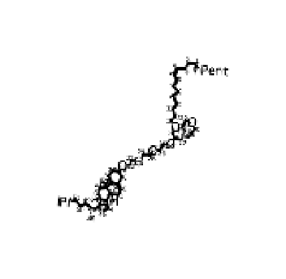 CCCCC/C=C\C/C=C\CCCCCCCCOCC(CN1CCOCC1)OCCOCCOCCO[C@H]1CC[C@@]2(C)C(=CC[C@H]3[C@@H]4CC[C@H]([C@H](C)CCCC(C)C)[C@@]4(C)CC[C@@H]32)C1